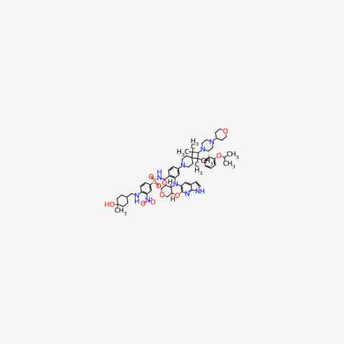 CC(C)Oc1ccccc1[C@H]1CN(C2CCOCC2)CCN1C1C(C)(C)C2(CCN(c3ccc(C(=O)NS(=O)(=O)c4ccc(NCC5CCC(C)(O)CC5)c([N+](=O)[O-])c4)c(N4c5cc6cc[nH]c6nc5O[C@H]5COCC[C@@H]54)c3)CC2)C1(C)C